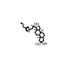 C=NCc1cnn(C[C@](C)(O)[C@H]2CCC3[C@@H]4CCC5C[C@@](O)(CCC)C[C@]5(C)C4CC[C@@]32C)c1